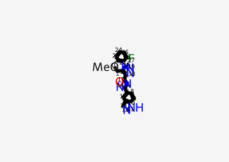 COCc1c(-c2nc(-c3ccc4[nH]ncc4c3)no2)nnn1-c1ccccc1F